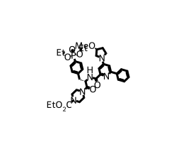 CCOC(=O)N1CCN(C(=O)[C@H](Cc2ccc(P(=O)(OCC)OCC)cc2)NC(=O)c2cc(N3CC[C@H](OC)C3)cc(-c3ccccc3)n2)CC1